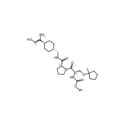 CC(C)OC(=O)N[C@H](COC1(C)CCCC1)C(=O)N1CCC[C@H]1C(=O)NC[C@H]1CC[C@H](C(N)=NO)CC1